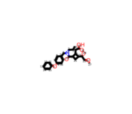 CCCN(Cc1ccc(Oc2ccccc2)cc1)C(=O)C1CC(C(=O)COC)C1CC(=O)O